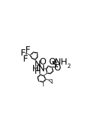 Cc1cccc(-c2ccc(S(N)(=O)=O)cc2NC(=O)Nc2cccc(C(F)(F)F)c2)c1C1CC1